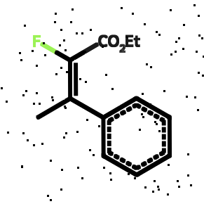 CCOC(=O)/C(F)=C(/C)c1ccccc1